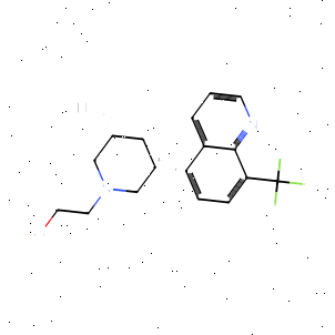 C[C@@H]1C[C@H](c2ccc(C(F)(F)F)c3ncccc23)CN(CCO)C1